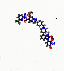 CC(C)Oc1cc2nc([C@H]3CC[C@H](CN4CCC(c5cccc6c5n(C)c(=O)n6C5CCC(=O)NC5=O)CC4)CC3)cn2cc1C(=O)Nc1cccc(C(F)F)n1